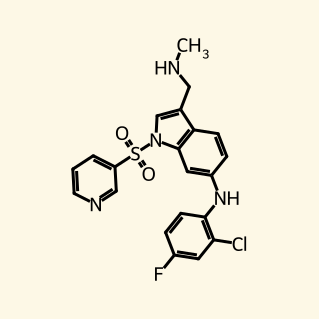 CNCc1cn(S(=O)(=O)c2cccnc2)c2cc(Nc3ccc(F)cc3Cl)ccc12